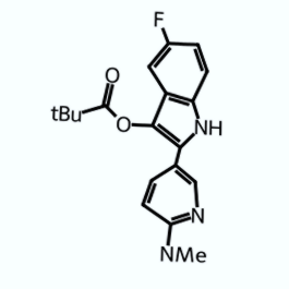 CNc1ccc(-c2[nH]c3ccc(F)cc3c2OC(=O)C(C)(C)C)cn1